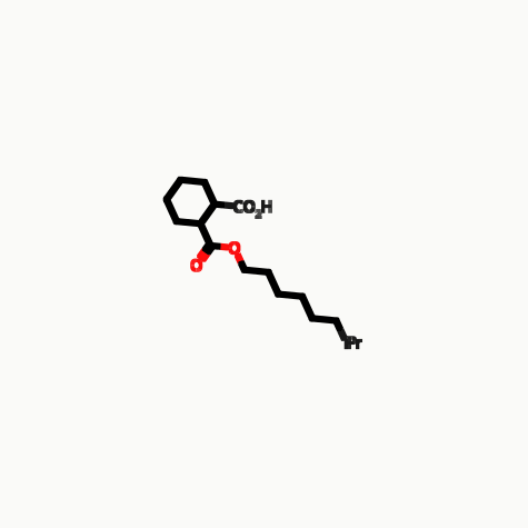 CC(C)CCCCCCOC(=O)C1CCCCC1C(=O)O